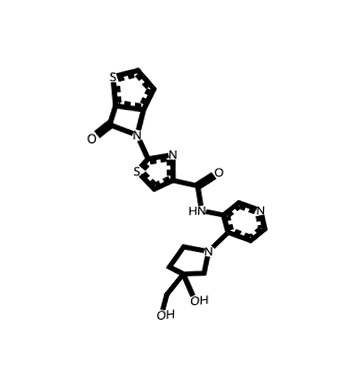 O=C(Nc1cnccc1N1CCC(O)(CO)C1)c1csc(N2C(=O)c3sccc32)n1